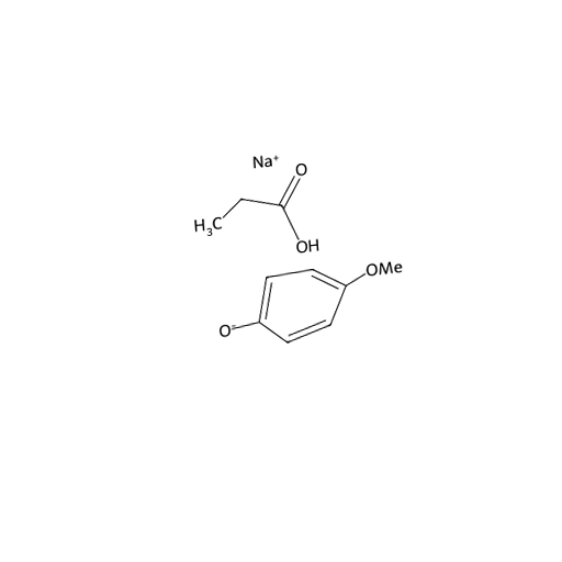 CCC(=O)O.COc1ccc([O-])cc1.[Na+]